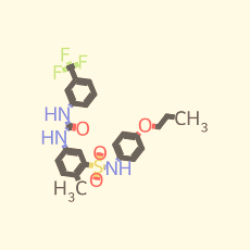 CCCOc1ccc(NS(=O)(=O)c2cc(NC(=O)Nc3cccc(C(F)(F)F)c3)ccc2C)cc1